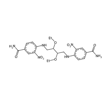 CCOC(CNc1ccc(C(N)=O)cc1[N+](=O)[O-])C(CNc1ccc(C(N)=O)cc1[N+](=O)[O-])OCC